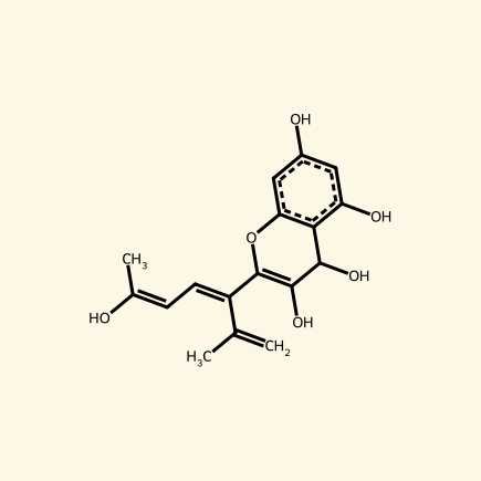 C=C(C)/C(=C\C=C(/C)O)C1=C(O)C(O)c2c(O)cc(O)cc2O1